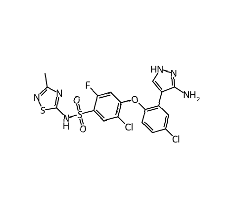 Cc1nsc(NS(=O)(=O)c2cc(Cl)c(Oc3ccc(Cl)cc3-c3c[nH]nc3N)cc2F)n1